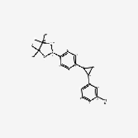 CC1(C)OB(c2ccc(C3CC3c3cccc(Cl)c3)cc2)OC1(C)C